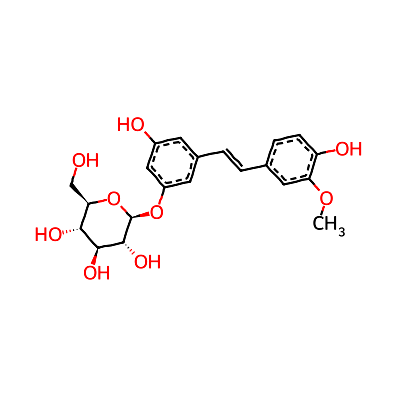 COc1cc(/C=C/c2cc(O)cc(O[C@@H]3O[C@H](CO)[C@@H](O)[C@H](O)[C@H]3O)c2)ccc1O